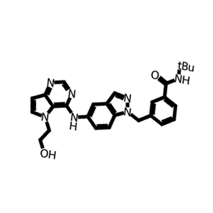 CC(C)(C)NC(=O)c1cccc(Cn2ncc3cc(Nc4ncnc5ccn(CCO)c45)ccc32)c1